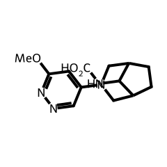 COc1cc(N2CC3CCC(C2)C3NC(=O)O)cnn1